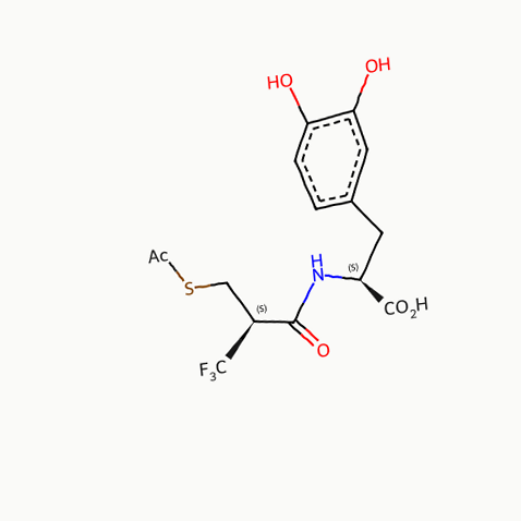 CC(=O)SC[C@@H](C(=O)N[C@@H](Cc1ccc(O)c(O)c1)C(=O)O)C(F)(F)F